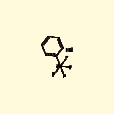 Cl.[F][Zn]([F])([F])([F])[c]1ccccc1